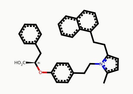 Cc1ccc(CCc2cccc3ccccc23)n1CCc1ccc(O[C@H](Cc2ccccc2)C(=O)O)cc1